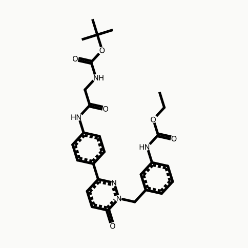 CCOC(=O)Nc1cccc(Cn2nc(-c3ccc(NC(=O)CNC(=O)OC(C)(C)C)cc3)ccc2=O)c1